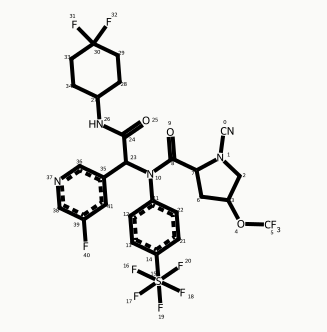 N#CN1CC(OC(F)(F)F)CC1C(=O)N(c1ccc(S(F)(F)(F)(F)F)cc1)C(C(=O)NC1CCC(F)(F)CC1)c1cncc(F)c1